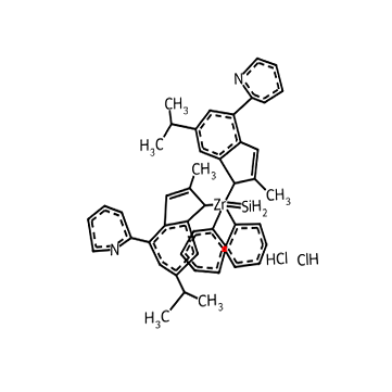 CC1=Cc2c(-c3ccccn3)cc(C(C)C)cc2[CH]1[Zr](=[SiH2])([c]1ccccc1)([c]1ccccc1)[CH]1C(C)=Cc2c(-c3ccccn3)cc(C(C)C)cc21.Cl.Cl